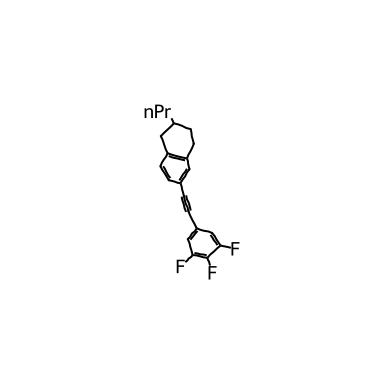 CCCC1CCc2cc(C#Cc3cc(F)c(F)c(F)c3)ccc2C1